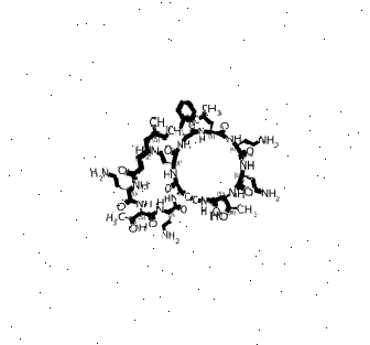 CC[C@H](C)CCCCC(=O)N[C@@H](CCN)C(=O)N[C@H](C(=O)N[C@@H](CCN)C(=O)N[C@H]1CCNC(=O)[C@H]([C@@H](C)O)NC(=O)[C@H](CCN)NC(=O)[C@H](CCN)NC(=O)[C@H](CC(C)C)NC(=O)[C@@H](Cc2ccccc2)NC(=O)[C@@H](CCN)NC1=O)[C@@H](C)O